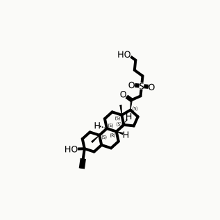 C#CC1(O)CC[C@@]2(C)C(CC[C@H]3[C@@H]4CC[C@H](C(=O)CS(=O)(=O)CCCO)[C@@]4(C)CC[C@@H]32)C1